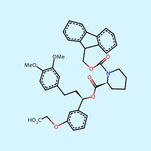 COc1ccc(CC[C@@H](OC(=O)[C@@H]2CCCCN2C(=O)OCC2c3ccccc3-c3ccccc32)c2cccc(OCC(=O)O)c2)cc1OC